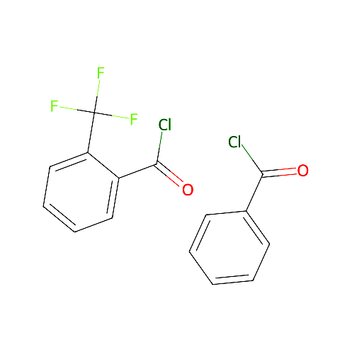 O=C(Cl)c1ccccc1.O=C(Cl)c1ccccc1C(F)(F)F